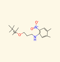 Cc1cc(NCCCO[Si](C)(C)C(C)(C)C)c([N+](=O)[O-])cc1C